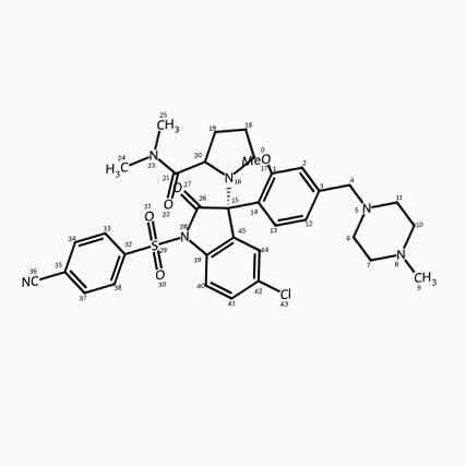 COc1cc(CN2CCN(C)CC2)ccc1[C@]1(N2CCCC2C(=O)N(C)C)C(=O)N(S(=O)(=O)c2ccc(C#N)cc2)c2ccc(Cl)cc21